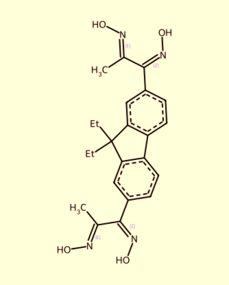 CCC1(CC)c2cc(C(=N/O)/C(C)=N/O)ccc2-c2ccc(C(=N/O)/C(C)=N/O)cc21